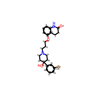 O=C1CCc2c(cccc2OCCCN2CCC(O)(c3cccc(Br)c3)CC2)N1